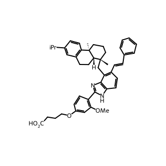 COc1cc(OCCCC(=O)O)ccc1-c1nc2c(C[C@@]3(C)CCC[C@]4(C)c5ccc(C(C)C)cc5CC[C@@H]34)c(/C=C/c3ccccc3)ccc2[nH]1